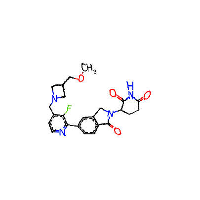 COCC1CN(Cc2ccnc(-c3ccc4c(c3)CN(C3CCC(=O)NC3=O)C4=O)c2F)C1